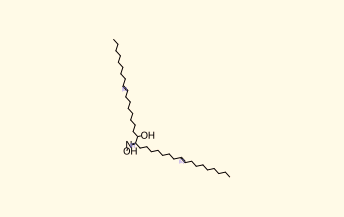 CCCCCCCC/C=C/CCCCCCC/C(=N\O)C(O)CCCCCCC/C=C/CCCCCCCC